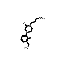 COCCCN1CCN(c2cccc(CO)c2F)CC1=O